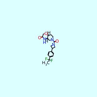 CC(F)(F)c1ccc(C2CN(C(=O)N3CC[C@@H]4OCC(=O)N[C@@H]4C3)C2)cc1